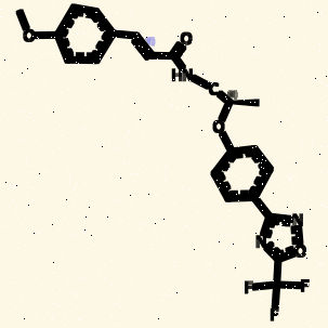 COc1ccc(/C=C/C(=O)NC[C@@H](C)Oc2ccc(-c3noc(C(F)(F)F)n3)cc2)cc1